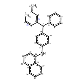 C=C/C=C(\C=C/C)N(c1ccccc1)c1ccc(Nc2cccc3ccccc23)cc1